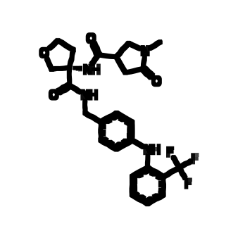 CN1CC(C(=O)N[C@@]2(C(=O)NCc3ccc(Nc4ccccc4C(F)(F)F)cc3)CCOC2)CC1=O